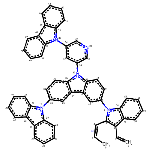 C=Cc1c(/C=C\C)n(-c2ccc3c(c2)c2cc(-n4c5ccccc5c5ccccc54)ccc2n3-c2cncc(-n3c4ccccc4c4ccccc43)c2)c2ccccc12